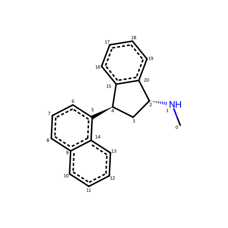 CN[C@@H]1C[C@@H](c2cccc3ccccc23)c2ccccc21